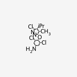 Cc1c(Oc2c(Cl)cc(N)cc2Cl)nnc(Cl)c1C(C)C